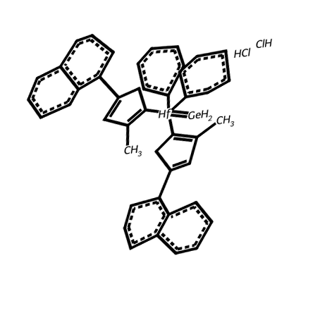 CC1=[C]([Hf](=[GeH2])([C]2=C(C)C=C(c3cccc4ccccc34)C2)([c]2ccccc2)[c]2ccccc2)CC(c2cccc3ccccc23)=C1.Cl.Cl